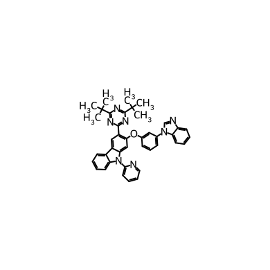 CC(C)(C)c1nc(-c2cc3c4ccccc4n(-c4ccccn4)c3cc2Oc2cccc(-n3cnc4ccccc43)c2)nc(C(C)(C)C)n1